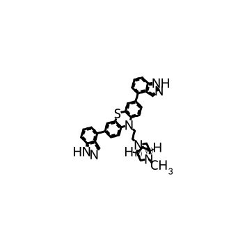 CN1C[C@H]2C[C@@H]1CN2CCN1c2ccc(-c3cccc4[nH]ncc34)cc2Sc2cc(-c3cccc4[nH]ncc34)ccc21